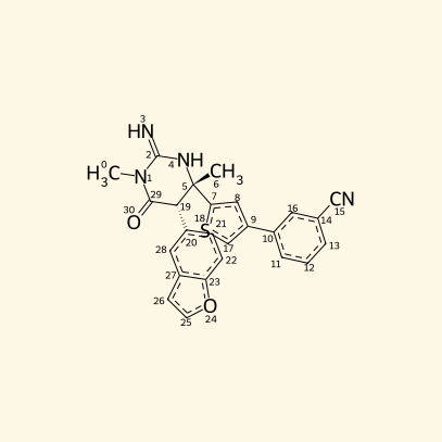 CN1C(=N)N[C@](C)(c2cc(-c3cccc(C#N)c3)cs2)[C@H](c2ccc3occc3c2)C1=O